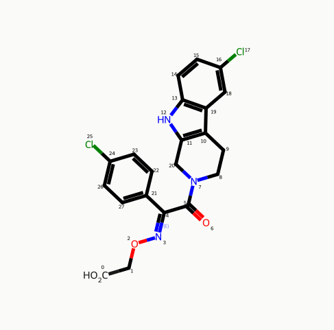 O=C(O)CO/N=C(/C(=O)N1CCc2c([nH]c3ccc(Cl)cc23)C1)c1ccc(Cl)cc1